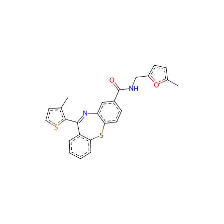 Cc1ccc(CNC(=O)c2ccc3c(c2)N=C(c2sccc2C)c2ccccc2S3)o1